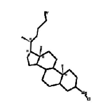 CC(C)CCC[C@@H](C)[C@H]1CCC2C3CCC4C[CH]([Mg][Cl])CC[C@]4(C)C3CC[C@@]21C